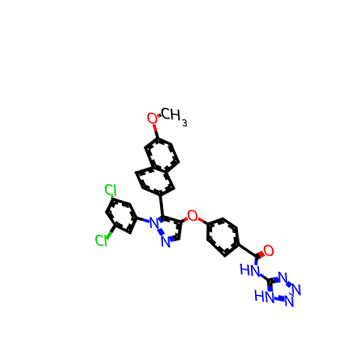 COc1ccc2cc(-c3c(Oc4ccc(C(=O)Nc5nnn[nH]5)cc4)cnn3-c3cc(Cl)cc(Cl)c3)ccc2c1